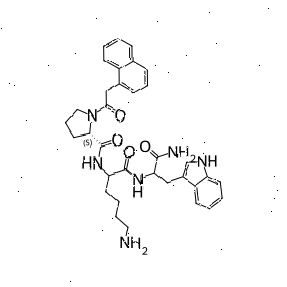 NCCCCC(NC(=O)[C@@H]1CCCN1C(=O)Cc1cccc2ccccc12)C(=O)NC(Cc1c[nH]c2ccccc12)C(N)=O